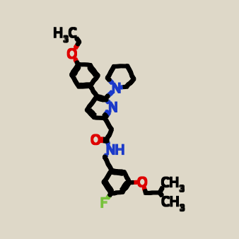 CCOc1ccc(-c2ccc(CC(=O)NCc3cc(F)cc(OCC(C)C)c3)nc2N2CCCCC2)cc1